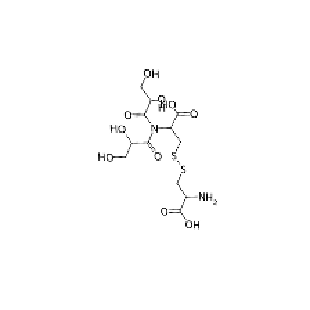 NC(CSSCC(C(=O)O)N(C(=O)C(O)CO)C(=O)C(O)CO)C(=O)O